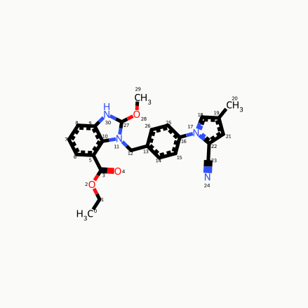 CCOC(=O)c1cccc2c1N(Cc1ccc(-n3cc(C)cc3C#N)cc1)C(OC)N2